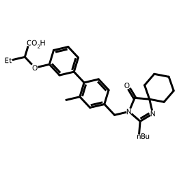 CCCCC1=NC2(CCCCC2)C(=O)N1Cc1ccc(-c2cccc(OC(CC)C(=O)O)c2)c(C)c1